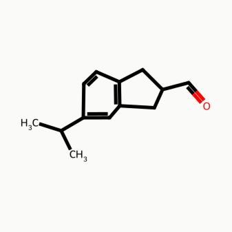 CC(C)c1ccc2c(c1)CC(C=O)C2